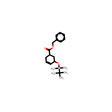 CC(C)(C)[Si](C)(C)OC1C=CCC(C(=O)OCc2ccccc2)C1